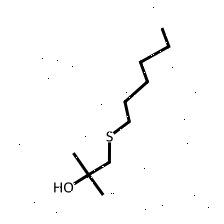 CCCCCCSCC(C)(C)O